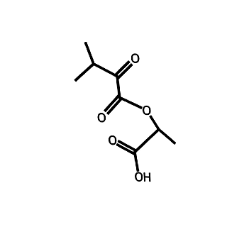 CC(C)C(=O)C(=O)OC(C)C(=O)O